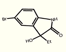 CCC1(O)C(=O)Nc2ccc(Br)cc21